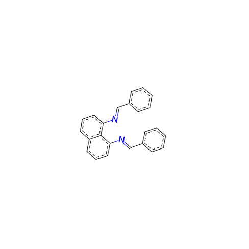 C(=Nc1cccc2cccc(N=Cc3ccccc3)c12)c1ccccc1